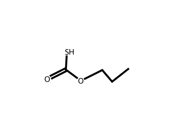 CCCOC(=O)S